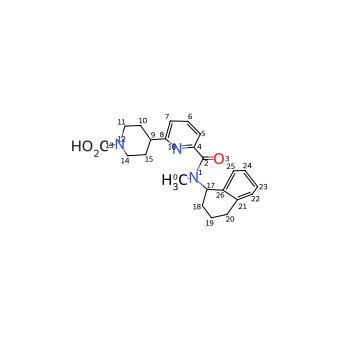 CN(C(=O)c1cccc(C2CCN(C(=O)O)CC2)n1)C1CCCc2ccccc21